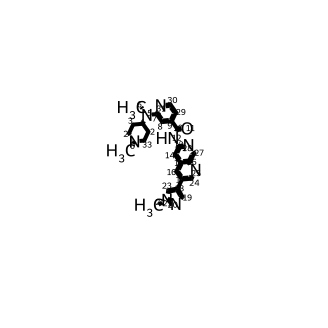 CN1CCC(N(C)c2cc(C(=O)Nc3cc4cc(-c5cnn(C)c5)cnc4cn3)ccn2)CC1